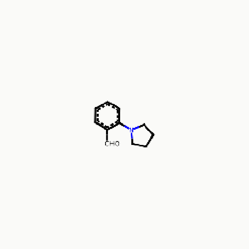 O=Cc1ccccc1N1CCCC1